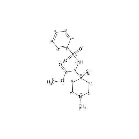 COC(=O)C(NS(=O)(=O)c1ccccc1)C1(S)CCN(C)CC1